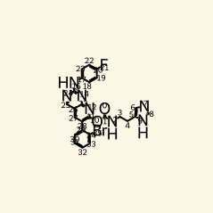 O=C(NCCc1cnc[nH]1)Oc1nc2nc(Nc3ccc(F)cc3)ncc2cc1-c1ccccc1Br